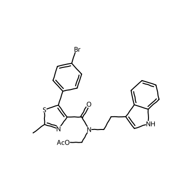 CC(=O)OCN(CCc1c[nH]c2ccccc12)C(=O)c1nc(C)sc1-c1ccc(Br)cc1